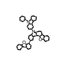 c1ccc(-n2c3ccccc3c3cc(-n4c5ccc(-c6cccc7c6oc6ccccc67)cc5c5c6oc7ccccc7c6ccc54)ccc32)cc1